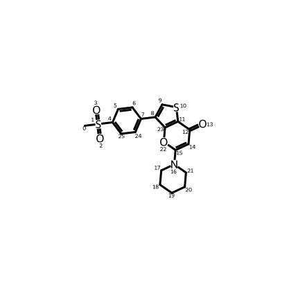 CS(=O)(=O)c1ccc(-c2csc3c(=O)cc(N4CCCCC4)oc23)cc1